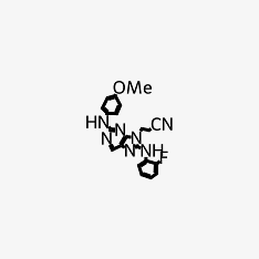 COc1ccc(Nc2ncc3nc(Nc4ccccc4F)n(CCC#N)c3n2)cc1